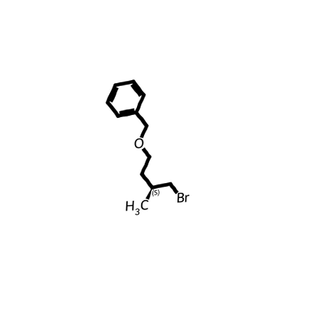 C[C@H](CBr)CCOCc1ccccc1